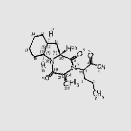 CCC[C@H](C(=O)O)N1C(=O)[C@H]2C[C@@H]3CCCC[C@@H]3N2C(=O)[C@@H]1C